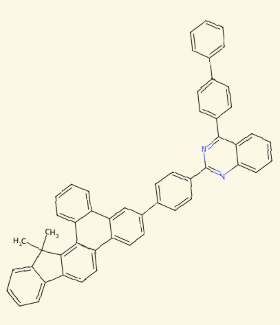 CC1(C)c2ccccc2-c2ccc3c4ccc(-c5ccc(-c6nc(-c7ccc(-c8ccccc8)cc7)c7ccccc7n6)cc5)cc4c4ccccc4c3c21